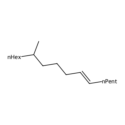 [CH2]CCCCC=CCCCC(C)CCCCC[CH2]